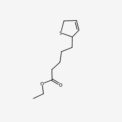 CCOC(=O)CCCCC1C=CCS1